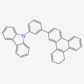 C1=Cc2c(c3ccccc3c3ccc(-c4cccc(-n5c6ccccc6c6ccccc65)c4)cc23)CC1